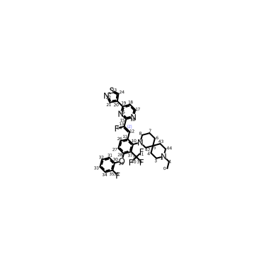 CCN1CCC2(CCCN(c3c(/C=C(\F)c4nccc(-c5cnsc5)n4)ccc(Oc4ccccc4F)c3C(F)(F)F)C2)CC1